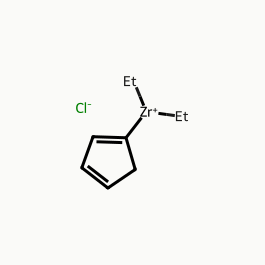 C[CH2][Zr+]([CH2]C)[C]1=CC=CC1.[Cl-]